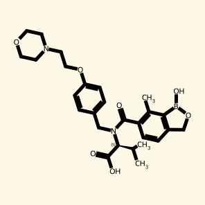 Cc1c(C(=O)N(Cc2ccc(OCCN3CCOCC3)cc2)[C@H](C(=O)O)C(C)C)ccc2c1B(O)OC2